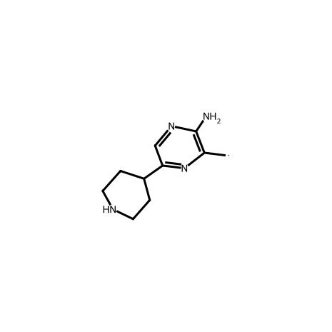 [CH2]c1nc(C2CCNCC2)cnc1N